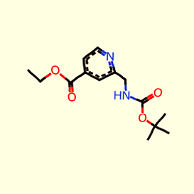 CCOC(=O)c1ccnc(CNC(=O)OC(C)(C)C)c1